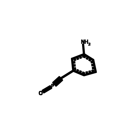 Nc1cccc(C#P=O)c1